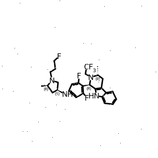 C[C@@H]1C[C@H](Nc2cc(F)c([C@@H]3c4[nH]c5ccccc5c4C[C@@H](C)N3CC(F)(F)F)c(F)c2)CN1CCCF